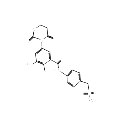 CNS(=O)(=O)Cc1ccc(NC(=O)c2cc(N3C(=O)CCNC3=O)cc(C(C)(C)C)c2O)cc1